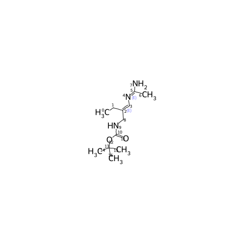 CC/C(=C\N=C(/C)N)CNC(=O)OC(C)(C)C